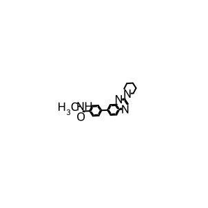 CNC(=O)c1ccc(-c2ccc3ncc(N4CCCCC4)nc3c2)cc1